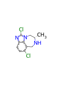 C[C@H]1Cn2c(Cl)nc3ccc(Cl)c(c32)CN1